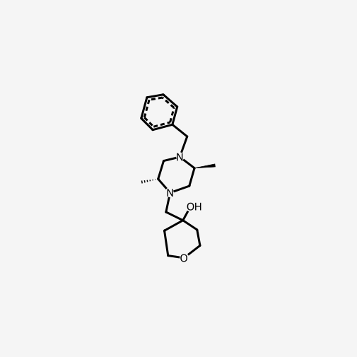 C[C@@H]1CN(Cc2ccccc2)[C@@H](C)CN1CC1(O)CCOCC1